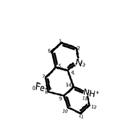 [Fe+2].c1cnc2c(c1)ccc1ccc[nH+]c12